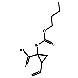 C=CC1CC1(NC(=O)OCCCC)C(=O)O